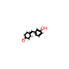 O=C1CCC(=Cc2cccc(O)c2)CC1